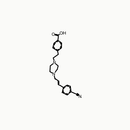 N#Cc1ccc(C=CCN2CCN(CCc3ccc(C(=O)O)cc3)CC2)cc1